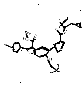 CNC(=O)c1c(-c2ccc(F)cc2)oc2nc(NCC(F)(F)F)c(-c3cccc(C(=O)NC(C4CC4)C(F)(F)F)c3)cc12